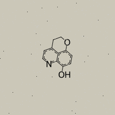 Oc1ccc2c3c(ccnc13)CCO2